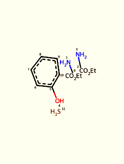 CCOC(N)=O.CCOC(N)=O.Oc1ccccc1.S